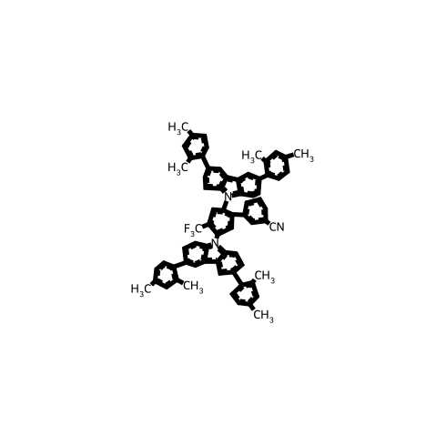 Cc1ccc(-c2ccc3c(c2)c2cc(-c4ccc(C)cc4C)ccc2n3-c2cc(C(F)(F)F)c(-n3c4ccc(-c5ccc(C)cc5C)cc4c4cc(-c5ccc(C)cc5C)ccc43)cc2-c2cccc(C#N)c2)c(C)c1